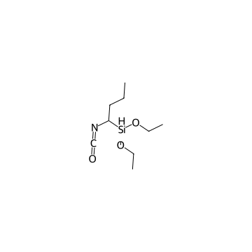 CCCC(N=C=O)[SiH](OCC)OCC